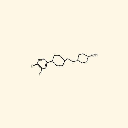 Fc1ccc(C2CCC(CCC3CC[CH]([RaH])CC3)CC2)cc1F